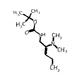 CC/C=C(/CNC(=O)OC(C)(C)C)N(C)C